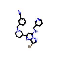 N#Cc1cccc(CN2CCCC(c3cc(NCc4cccnc4)n4ncc(Br)c4n3)C2)c1